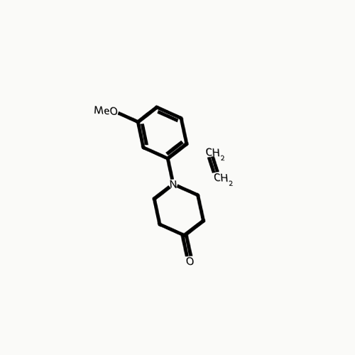 C=C.COc1cccc(N2CCC(=O)CC2)c1